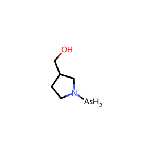 OCC1CCN([AsH2])C1